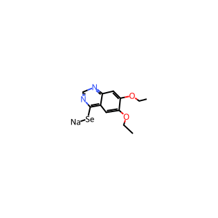 CCOc1cc2ncnc([Se][Na])c2cc1OCC